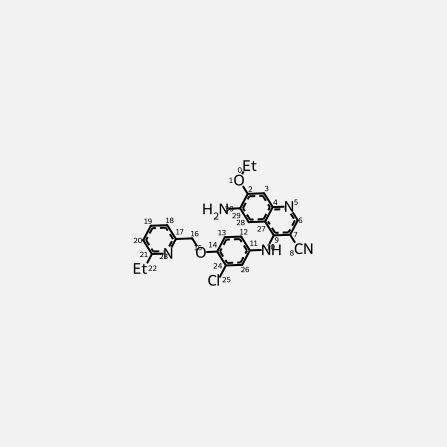 CCOc1cc2ncc(C#N)c(Nc3ccc(OCc4cccc(CC)n4)c(Cl)c3)c2cc1N